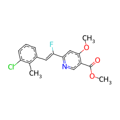 COC(=O)c1cnc(/C(F)=C/c2cccc(Cl)c2C)cc1OC